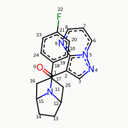 O=C(c1cnn2cccnc12)N1C2CCC1CC(c1ccc(F)cc1)C2